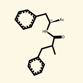 CC(=O)[C@H](Cc1ccccc1)NC(=O)C(C)Cc1ccccc1